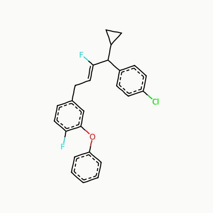 FC(=CCc1ccc(F)c(Oc2ccccc2)c1)C(c1ccc(Cl)cc1)C1CC1